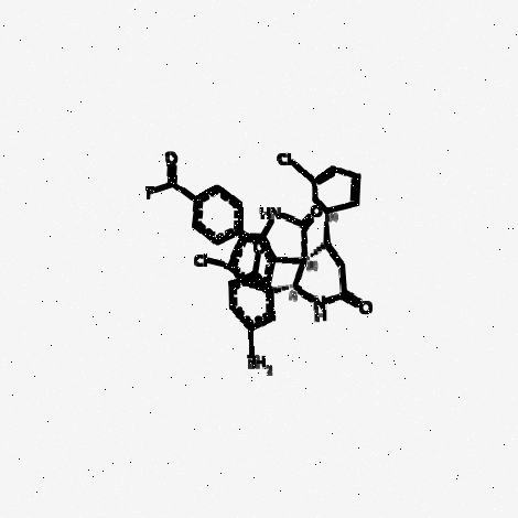 Bc1ccc(Oc2ccc(C(=O)F)cc2)c([C@H]2NC(=O)CC([C@@H]3C=CC=C(Cl)C3)[C@]23C(=O)Nc2cc(Cl)ccc23)c1